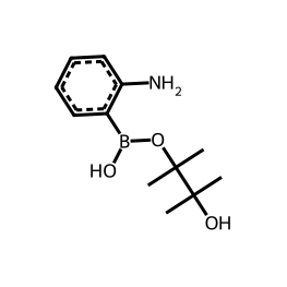 CC(C)(O)C(C)(C)OB(O)c1ccccc1N